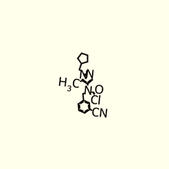 Cc1c(N(Cc2cccc(C#N)c2)C(=O)Cl)cnn1CC1CCCC1